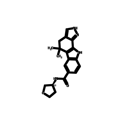 CC1(C)Cc2c[nH]nc2-c2[nH]c3ccc(C(=O)N[C@H]4CCOC4)cc3c21